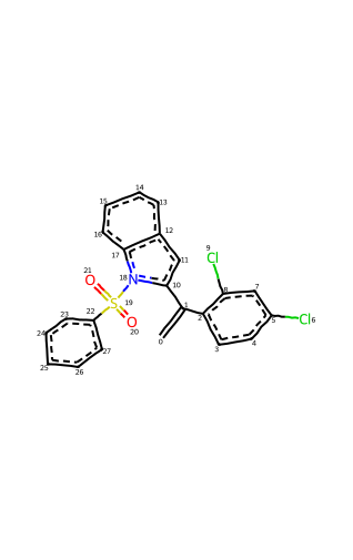 C=C(c1ccc(Cl)cc1Cl)c1cc2ccccc2n1S(=O)(=O)c1ccccc1